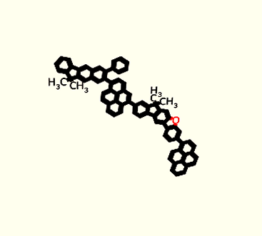 CC1(C)c2ccccc2-c2cc3cc(-c4ccccc4)c(-c4ccc5cc(-c6ccc7c(c6)C(C)(C)c6cc8oc9cc(-c%10ccc%11ccc%12cccc%13ccc%10c%11c%12%13)ccc9c8cc6-7)c6cccc7ccc4c5c76)cc3cc21